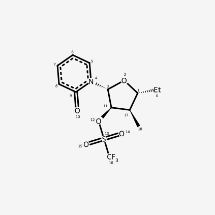 CC[C@H]1O[C@@H](n2ccccc2=O)[C@H](OS(=O)(=O)C(F)(F)F)[C@@H]1C